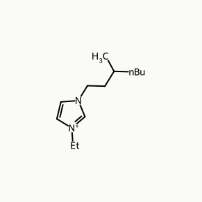 CCCCC(C)CCn1cc[n+](CC)c1